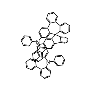 c1ccc(N(c2ccc3c(c2)-c2ccccc2-c2ccccc2N3c2ccccc2)c2ccc3c(c2)C2(c4ccccc4-c4ccccc4-3)c3ccccc3-c3cc4c(cc32)sc2ccccc24)cc1